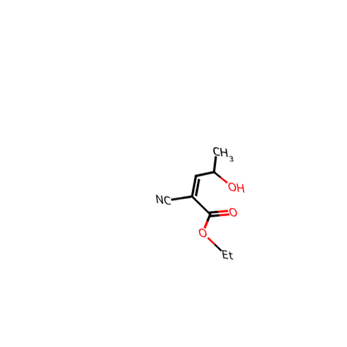 CCOC(=O)/C(C#N)=C\C(C)O